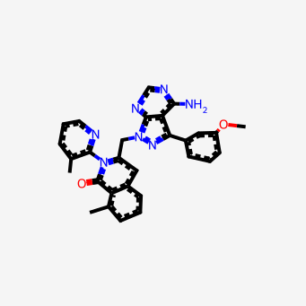 COc1cccc(-c2nn(Cc3cc4cccc(C)c4c(=O)n3-c3ncccc3C)c3ncnc(N)c23)c1